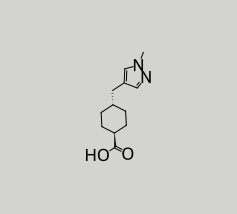 Cn1cc(C[C@H]2CC[C@H](C(=O)O)CC2)cn1